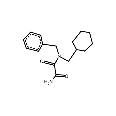 NC(=O)C(=O)N(Cc1ccccc1)CC1CCCCC1